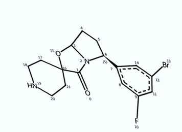 O=C1N2C(CC[C@H]2c2cc(F)cc(Br)c2)OC12CCNCC2